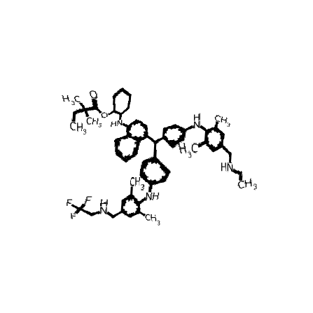 CCNCc1cc(C)c(Nc2ccc(C(c3ccc(Nc4c(C)cc(CNCC(F)(F)F)cc4C)cc3)c3ccc(NC4CCCCC4OC(=O)C(C)(C)CC)c4ccccc34)cc2)c(C)c1